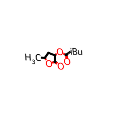 CCC(C)C(=O)OC1CC(C)OC1=O